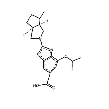 CC(C)Oc1cc(C(=O)O)cc2sc(N3C[C@H]4CCC(C)[C@H]4C3)nc12